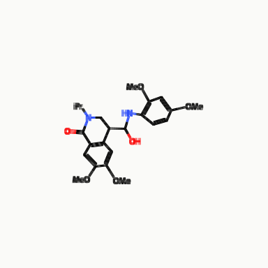 COc1ccc(NC(O)C2CN(C(C)C)C(=O)c3cc(OC)c(OC)cc32)c(OC)c1